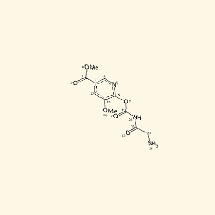 COC(=O)c1cnc(OC(=O)NC(=O)CN)c(OC)c1